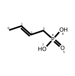 CC=CCP(=O)(O)O